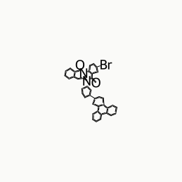 O=c1c2cc(Br)ccc2n2c(=O)c3ccccc3cc2n1-c1cccc(-c2ccc3c4ccccc4c4ccccc4c3c2)c1